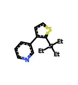 CC[Si](CC)(CC)c1sccc1-c1cccnc1